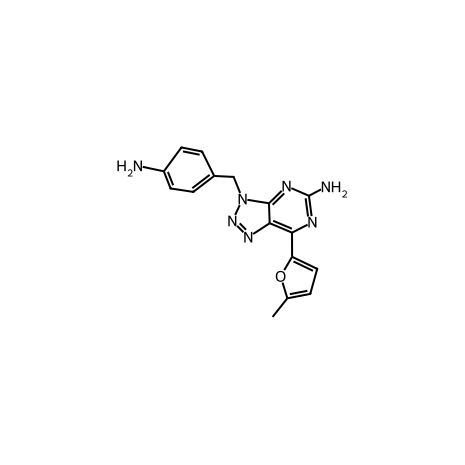 Cc1ccc(-c2nc(N)nc3c2nnn3Cc2ccc(N)cc2)o1